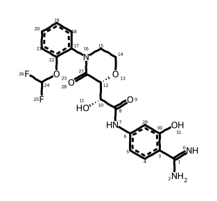 N=C(N)c1ccc(NC(=O)[C@H](O)[C@H]2OCCN(c3ccccc3OC(F)F)C2=O)cc1O